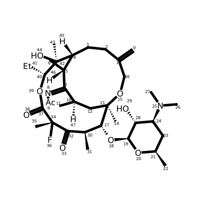 C=C1CC[C@@H]2[C@@H](C)/C(=N/C(C)=O)[C@H](C)C[C@@](C)(OC1)[C@H](O[C@@H]1O[C@H](C)C[C@H](N(C)C)[C@H]1O)[C@@H](C)C(=O)[C@](C)(F)C(=O)O[C@H](CC)[C@@]2(C)O